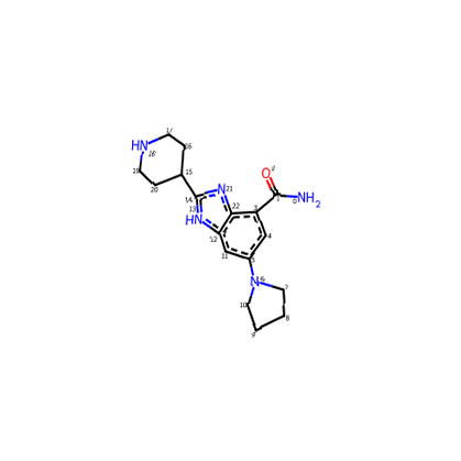 NC(=O)c1cc(N2CCCC2)cc2[nH]c(C3CCNCC3)nc12